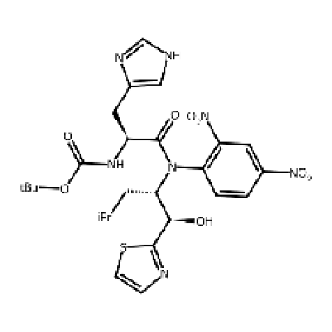 CC(C)C[C@@H]([C@@H](O)c1nccs1)N(C(=O)[C@H](Cc1c[nH]cn1)NC(=O)OC(C)(C)C)c1ccc([N+](=O)[O-])cc1[N+](=O)[O-]